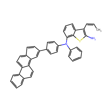 C/C=C\c1c(N)sc2c(N(c3ccccc3)c3ccc(-c4ccc5ccc6c7ccccc7ccc6c5c4)cc3)cccc12